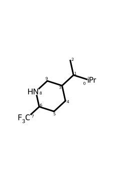 CC(C)C(C)C1CCC(C(F)(F)F)NC1